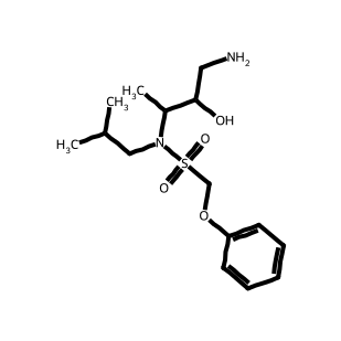 CC(C)CN(C(C)C(O)CN)S(=O)(=O)COc1ccccc1